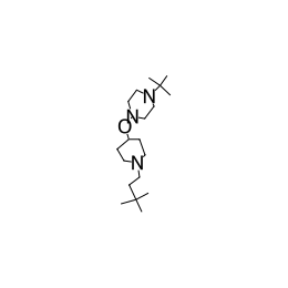 CC(C)(C)CCN1CCC(ON2CCN(C(C)(C)C)CC2)CC1